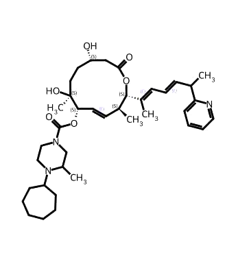 C/C(=C\C=C\C(C)c1ccccn1)[C@H]1OC(=O)C[C@@H](O)CC[C@](C)(O)[C@@H](OC(=O)N2CCN(C3CCCCCC3)C(C)C2)/C=C/[C@@H]1C